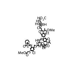 CC1COc2ccccc2N1C(=O)C(Cl)Cl.CCNc1nc(Cl)nc(NC(C)C)n1.CCc1cccc(C)c1N(C(=O)CCl)C(C)COC.COC(=O)CSc1cc(/N=c2\sc(=O)n3n2CCCC3)c(F)cc1Cl.O=C(O)CNCP(=O)(O)O